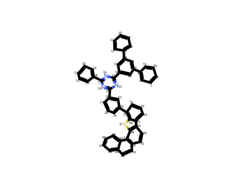 c1ccc(-c2cc(-c3ccccc3)cc(-c3nc(-c4ccccc4)nc(-c4cccc(-c5cccc6c5sc5c6ccc6ccc7ccccc7c65)c4)n3)c2)cc1